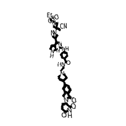 CCS(=O)(=O)N1CC(CC#N)(n2cc(-c3nc(Nc4ccc(C(=O)NCCN5CCC(c6ccc7c(c6)CN(C6CCC(=O)NC6=O)C7=O)CC5)cc4)nc4[nH]ccc34)cn2)C1